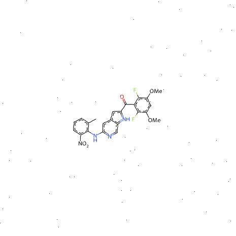 COc1cc(OC)c(F)c(C(=O)c2cc3cc(Nc4c(C)cccc4[N+](=O)[O-])ncc3[nH]2)c1F